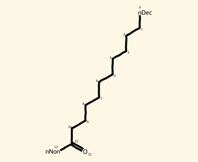 CCCCCCCCCCCCCCCCCCCCC(=O)CCCCCCCCC